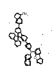 CC1CC=Cc2cc(C3=CC4=C(CC3)C3(C5=CC(c6ccc(N(c7ccc8ccccc8c7)c7cccc8c7OC7C=CC=CC87)cc6)CC=C54)C4=C(C=CCC4)C4C=CC=CC43)ccc21